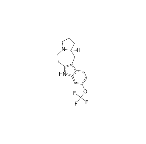 FC(F)(F)Oc1ccc2c3c([nH]c2c1)CCN1CCC[C@H]1C3